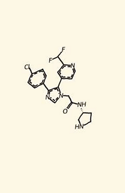 O=C(Cn1cnc(-c2ccc(Cl)cc2)c1-c1ccnc(C(F)F)c1)N[C@@H]1CCNC1